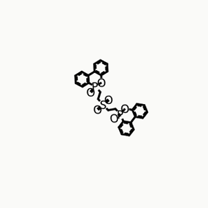 O=P1(CCS(=O)(=O)CCP2(=O)Oc3ccccc3-c3ccccc32)Oc2ccccc2-c2ccccc21